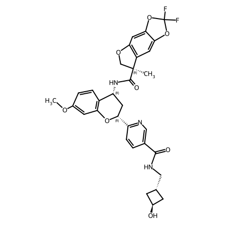 COc1ccc2c(c1)O[C@@H](c1ccc(C(=O)NC[C@H]3C[C@H](O)C3)cn1)C[C@H]2NC(=O)[C@@]1(C)COc2cc3c(cc21)OC(F)(F)O3